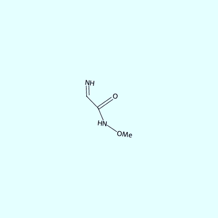 CONC(=O)C=N